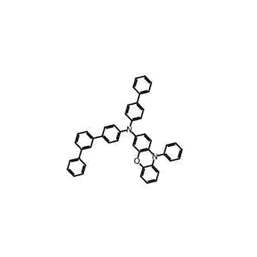 c1ccc(-c2ccc(N(c3ccc(-c4cccc(-c5ccccc5)c4)cc3)c3ccc4c(c3)Oc3ccccc3N4c3ccccc3)cc2)cc1